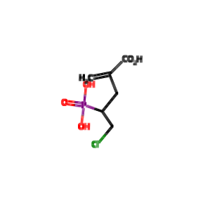 C=C(CC(CCl)P(=O)(O)O)C(=O)O